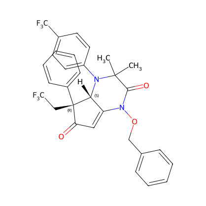 CC1(C)C(=O)N(OCc2ccccc2)C2=CC(=O)[C@](CC(F)(F)F)(c3ccccc3)[C@@H]2N1c1ccc(C(F)(F)F)cc1